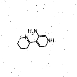 NC1=CNCC=C1C1=NCCCC1